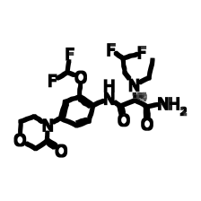 CCN(CC(F)F)[C@H](C(N)=O)C(=O)Nc1ccc(N2CCOCC2=O)cc1OC(F)F